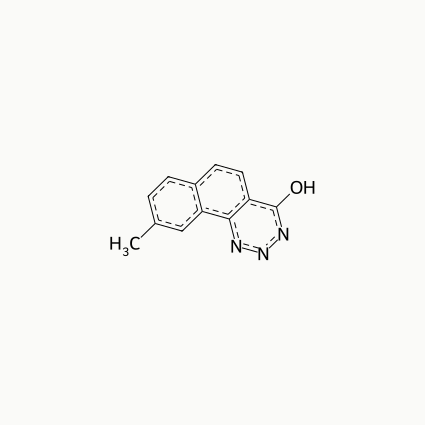 Cc1ccc2ccc3c(O)nnnc3c2c1